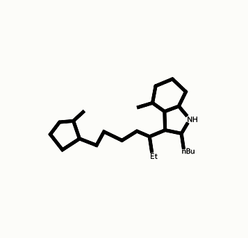 CCCCC1NC2CCCC(C)C2C1C(CC)CCCCC1CCCC1C